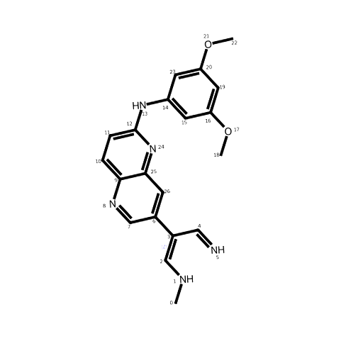 CN/C=C(\C=N)c1cnc2ccc(Nc3cc(OC)cc(OC)c3)nc2c1